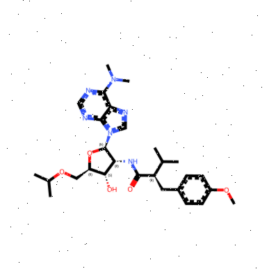 COc1ccc(C[C@@H](C(=O)N[C@@H]2[C@H](O)[C@@H](COC(C)C)O[C@H]2n2cnc3c(N(C)C)ncnc32)C(C)C)cc1